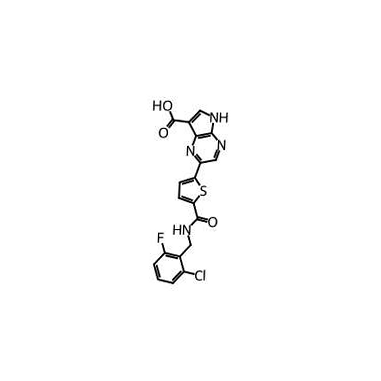 O=C(NCc1c(F)cccc1Cl)c1ccc(-c2cnc3[nH]cc(C(=O)O)c3n2)s1